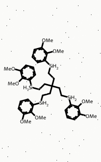 COc1cccc([SiH2]CCC(CC[SiH2]c2cccc(OC)c2OC)(CC[SiH2]c2cccc(OC)c2OC)CC[SiH2]c2cccc(OC)c2OC)c1OC